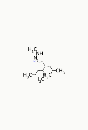 CCCC(CC)C(C/C=N\NC)CC(C)C